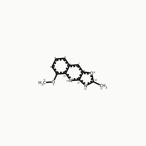 COc1cccc2cc3oc(C)nc3nc12